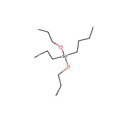 CCC[CH2][Sn]([CH2]CC)([O]CCC)[O]CCC